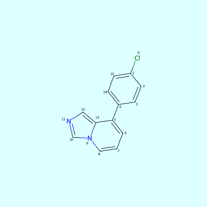 Clc1ccc(-c2cccn3cncc23)cc1